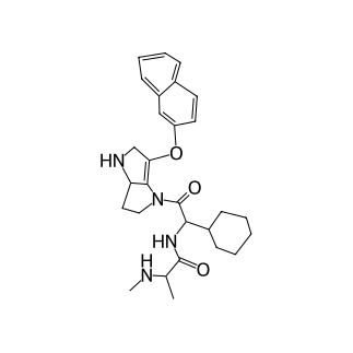 CNC(C)C(=O)NC(C(=O)N1CCC2NCC(Oc3ccc4ccccc4c3)=C21)C1CCCCC1